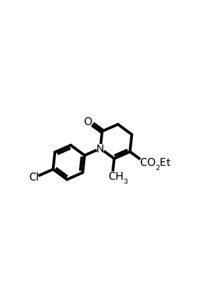 CCOC(=O)C1=C(C)N(c2ccc(Cl)cc2)C(=O)CC1